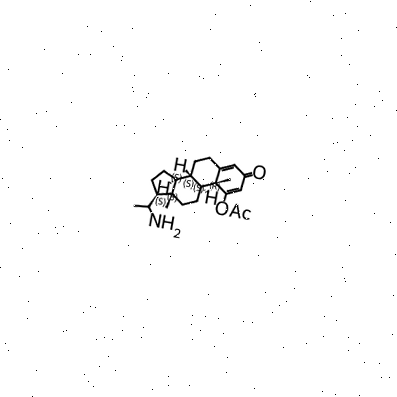 CC(=O)OC1=CC(=O)C=C2CC[C@@H]3[C@H](CC[C@]4(C)[C@@H](C(C)N)CC[C@@H]34)[C@]21C